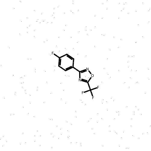 Fc1ccc(-c2noc(C(F)(F)F)n2)cc1